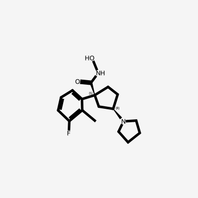 Cc1c(F)cccc1[C@]1(C(=O)NO)CC[C@@H](N2CCCC2)C1